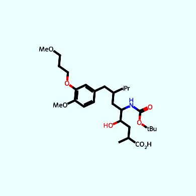 COCCCOc1cc(CC(CC(NC(=O)OC(C)(C)C)C(O)CC(C)C(=O)O)C(C)C)ccc1OC